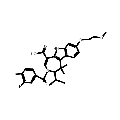 COCCOc1ccc2c3c([nH]c2c1)C(C(=O)O)=CN(C(=O)c1ccc(F)c(F)c1)C(C(C)C)C3(C)C